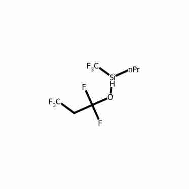 CCC[SiH](OC(F)(F)CC(F)(F)F)C(F)(F)F